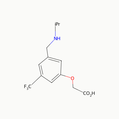 CC(C)NCc1cc(OCC(=O)O)cc(C(F)(F)F)c1